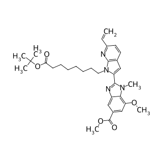 C=Cc1ccc2cc(-c3nc4cc(C(=O)OC)cc(OC)c4n3C)n(CCCCCCCC(=O)OC(C)(C)C)c2n1